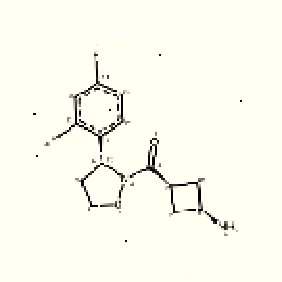 N[C@H]1C[C@@H](C(=O)N2OCC[C@H]2c2ccc(F)cc2F)C1